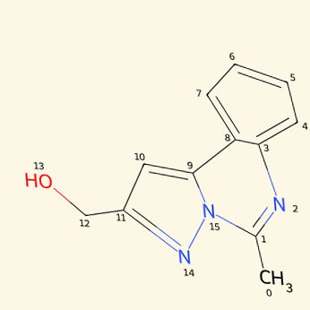 Cc1nc2ccccc2c2cc(CO)nn12